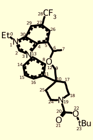 CCn1cnc2c(C(C)OCC3(c4ccccc4)CCN(C(=O)OC(C)(C)C)CC3)cc(C(F)(F)F)cc21